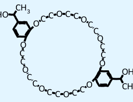 CC(O)c1ccc2c(c1)OCCOCCOCCOCCOc1cc(C(C)O)ccc1OCCOCCOCCOCCO2